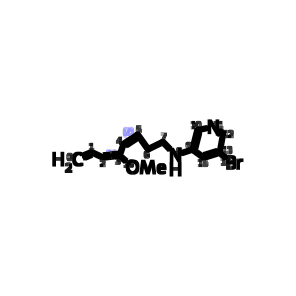 C=C/C=C(\C=C/CCNc1cncc(Br)c1)OC